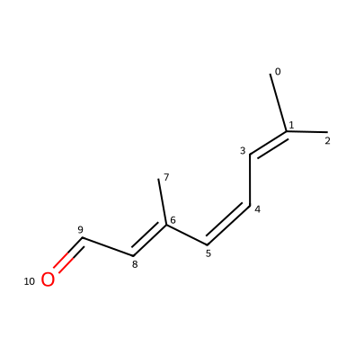 CC(C)=C/C=C\C(C)=C\C=O